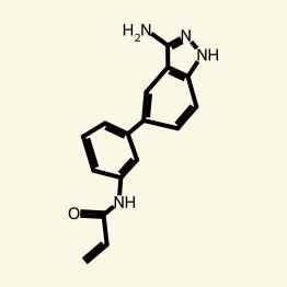 C=CC(=O)Nc1cccc(-c2ccc3[nH]nc(N)c3c2)c1